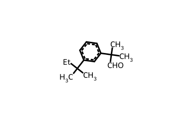 CCC(C)(C)c1cccc(C(C)(C)C=O)c1